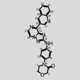 O=C1COCCN1c1ccc(Nc2nc3c(-c4cnc5ccccc5c4)nccn3n2)cc1